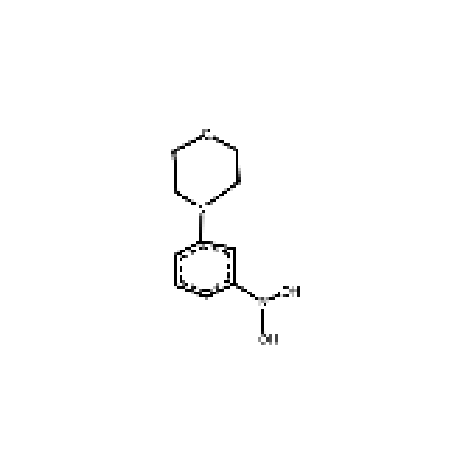 OB(O)c1cccc(N2CCOCC2)c1